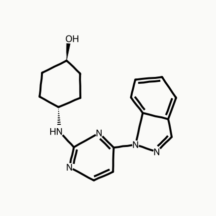 O[C@H]1CC[C@H](Nc2nccc(-n3ncc4ccccc43)n2)CC1